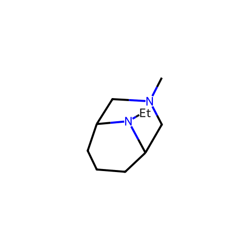 CCN1C2CCCC1CN(C)C2